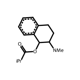 CNC1CCc2ccccc2C1OC(=O)C(C)C